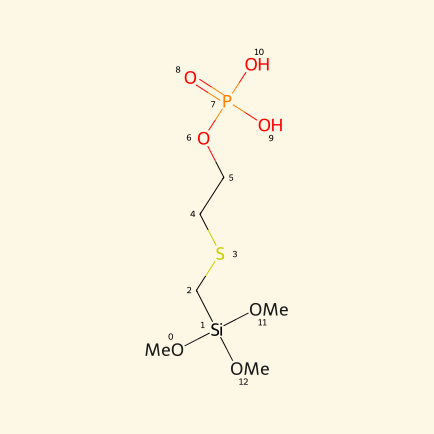 CO[Si](CSCCOP(=O)(O)O)(OC)OC